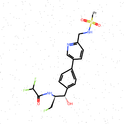 CC(C)S(=O)(=O)NCc1ccc(-c2ccc([C@H](O)[C@@H](CF)NC(=O)C(F)F)cc2)cn1